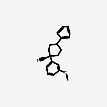 COc1cccc(C2(C#N)CCC(c3ccccc3)CC2)c1